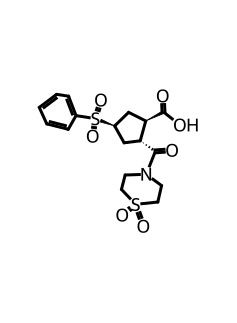 O=C(O)[C@@H]1C[C@H](S(=O)(=O)c2ccccc2)C[C@H]1C(=O)N1CCS(=O)(=O)CC1